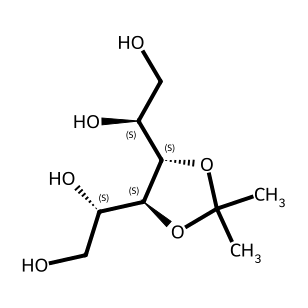 CC1(C)O[C@@H]([C@@H](O)CO)[C@H]([C@@H](O)CO)O1